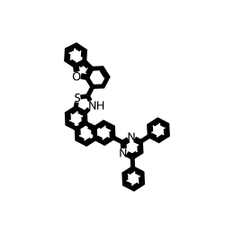 C1=Cc2c(oc3ccccc23)C(C2Nc3c(ccc4ccc5cc(-c6nc(-c7ccccc7)cc(-c7ccccc7)n6)ccc5c34)S2)C1